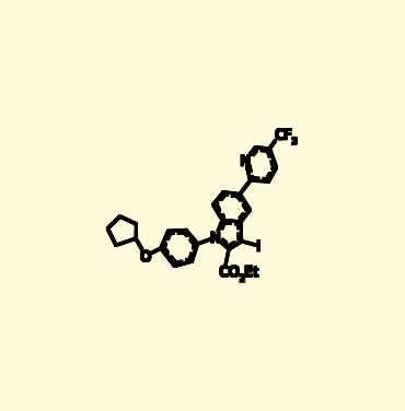 CCOC(=O)c1c(I)c2cc(-c3ccc(C(F)(F)F)cn3)ccc2n1-c1ccc(OC2CCCC2)cc1